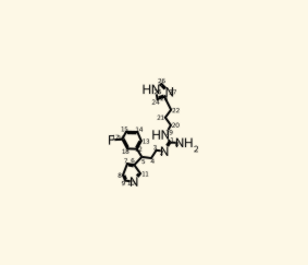 NC(=NCCC(c1cccnc1)c1cccc(F)c1)NCCCc1c[nH]cn1